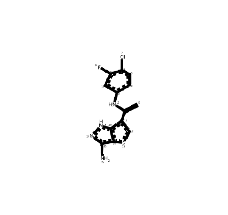 C=C(Nc1ccc(Cl)c(F)c1)c1csc2c(N)n[nH]c12